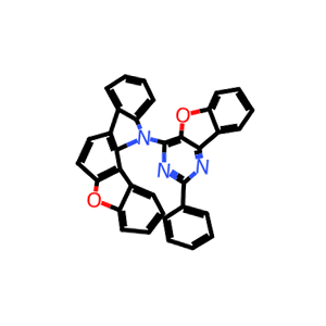 c1ccc(-c2nc(-n3c4ccccc4c4ccc5oc6ccccc6c5c43)c3oc4ccccc4c3n2)cc1